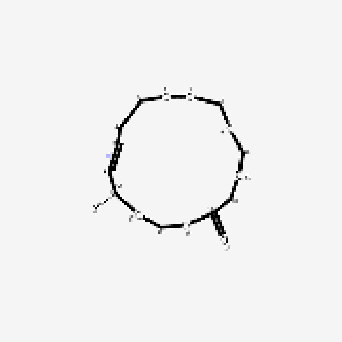 C[C@@H]1/C=C\CCCCCCCCCC(=O)OCC1